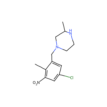 Cc1c(CN2CCNC(C)C2)cc(Cl)cc1[N+](=O)[O-]